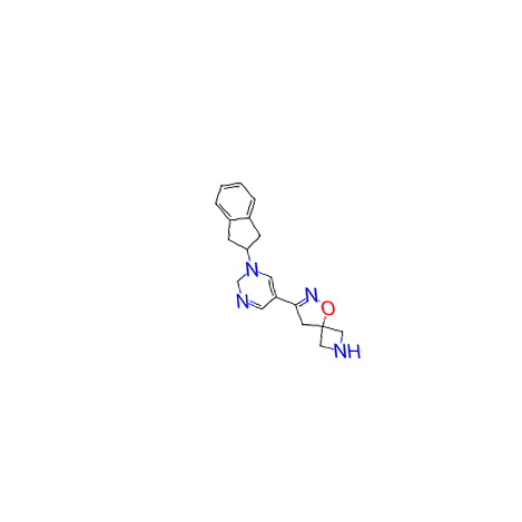 C1=NCN(C2Cc3ccccc3C2)C=C1C1=NOC2(CNC2)C1